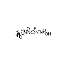 CSN(SC)C(=O)NC[C@H]1CN(c2ccc(N3CCN(C(=O)CO)CC3)c(F)c2)C(=O)O1